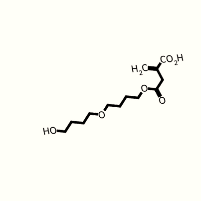 C=C(CC(=O)OCCCCOCCCCO)C(=O)O